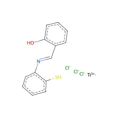 Oc1ccccc1C=Nc1ccccc1S.[Cl-].[Cl-].[Cl-].[Ti+3]